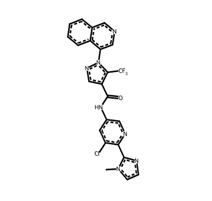 Cn1ccnc1-c1ncc(NC(=O)c2cnn(-c3cncc4ccccc34)c2C(F)(F)F)cc1Cl